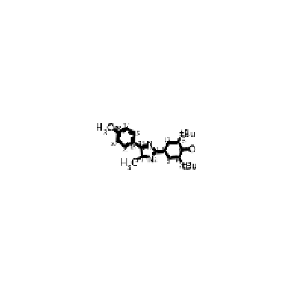 CC1=NC(=C2C=C(C(C)(C)C)C(=O)C(C(C)(C)C)=C2)N=C1c1ccc(C)cc1